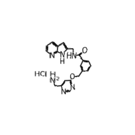 Cl.NCc1cc(OCc2cccc(C(=O)NCc3cc4cccnc4[nH]3)c2)ncn1